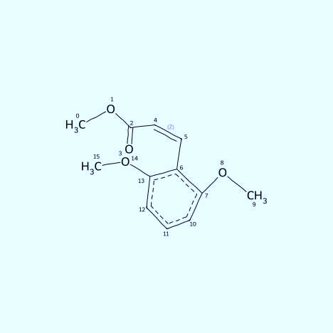 COC(=O)/C=C\c1c(OC)cccc1OC